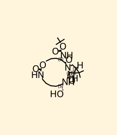 CC(C)(C)OC(=O)N[C@H]1CCCOC(=O)NCCCC[C@@H](CO)NC(=O)[C@@H]2[C@@H]3[C@H](CN2C1=O)C3(C)C